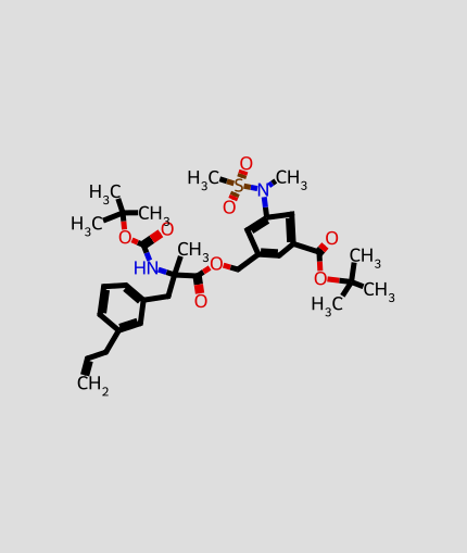 C=CCc1cccc(CC(C)(NC(=O)OC(C)(C)C)C(=O)OCc2cc(C(=O)OC(C)(C)C)cc(N(C)S(C)(=O)=O)c2)c1